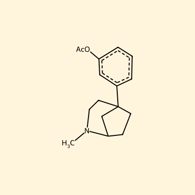 CC(=O)Oc1cccc(C23CCC(C2)N(C)CC3)c1